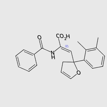 Cc1cccc(C2(/C=C(\NC(=O)c3ccccc3)C(=O)O)CC=CO2)c1C